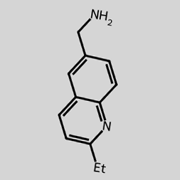 CCc1ccc2cc(CN)ccc2n1